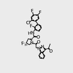 CC(=O)c1nn(CC(=O)N2C[C@H](F)C[C@H]2C(=O)Nc2cccc(-c3cc(F)c(F)cc3Cl)c2F)c2ccccc12